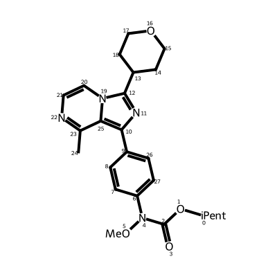 CCCC(C)OC(=O)N(OC)c1ccc(-c2nc(C3CCOCC3)n3ccnc(C)c23)cc1